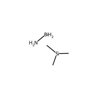 C[Si](C)C.[NH2][BiH2]